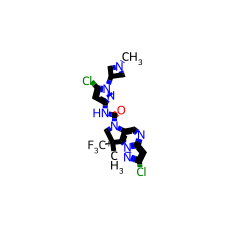 CN1CC(n2nc(NC(=O)N3C[C@@](C)(C(F)(F)F)c4c3cnc3cc(Cl)nn43)cc2Cl)C1